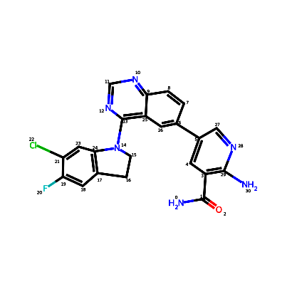 NC(=O)c1cc(-c2ccc3ncnc(N4CCc5cc(F)c(Cl)cc54)c3c2)cnc1N